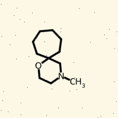 CN1CCOC2(CCCCCC2)C1